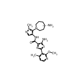 COc1nccc(C)c1-c1nc(C(=O)Nc2cnn(C)c2N2CCC[C@H](N)CC2)c(N)s1